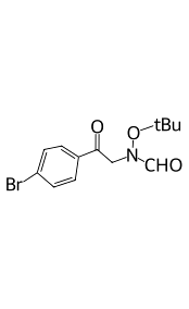 CC(C)(C)ON(C=O)CC(=O)c1ccc(Br)cc1